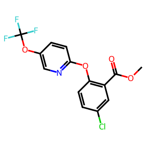 COC(=O)c1cc(Cl)ccc1Oc1ccc(OC(F)(F)F)cn1